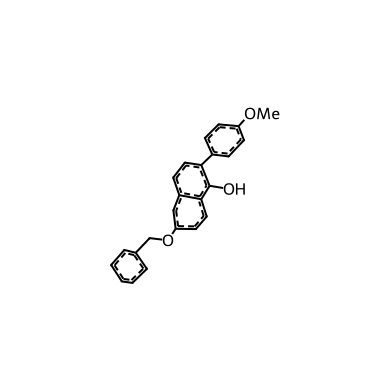 COc1ccc(-c2ccc3cc(OCc4ccccc4)ccc3c2O)cc1